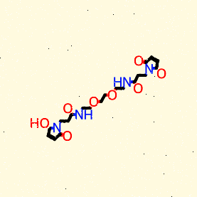 O=C(CCN1C(=O)C=CC1=O)NCCOCCOCCNC(=O)CCN1C(=O)C=CC1O